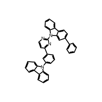 c1ccc(-c2ccc3c4ccccc4n(-c4nccc(-c5cccc(-n6c7ccccc7c7ccccc76)c5)n4)c3c2)cc1